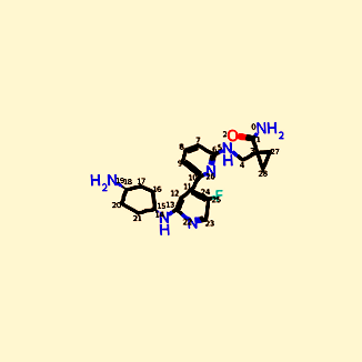 NC(=O)C1(CNc2cccc(-c3cc(N[C@H]4CC[C@H](N)CC4)ncc3F)n2)CC1